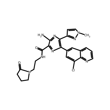 Cn1ccc(-c2nc(N)c(C(=O)NCCN3CCCC3=O)nc2-c2cc(Cl)c3ncccc3c2)n1